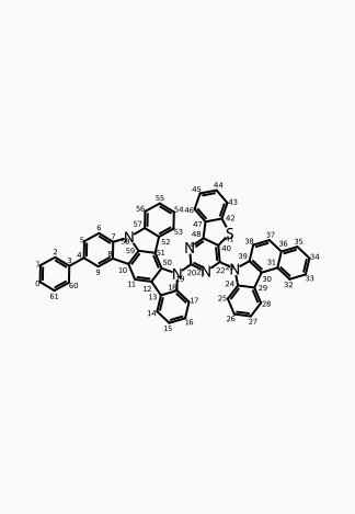 c1ccc(-c2ccc3c(c2)c2cc4c5ccccc5n(-c5nc(-n6c7ccccc7c7c8ccccc8ccc76)c6sc7ccccc7c6n5)c4c4c5ccccc5n3c24)cc1